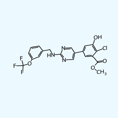 COC(=O)c1cc(-c2cnc(NCc3cccc(OC(F)(F)F)c3)nc2)cc(O)c1Cl